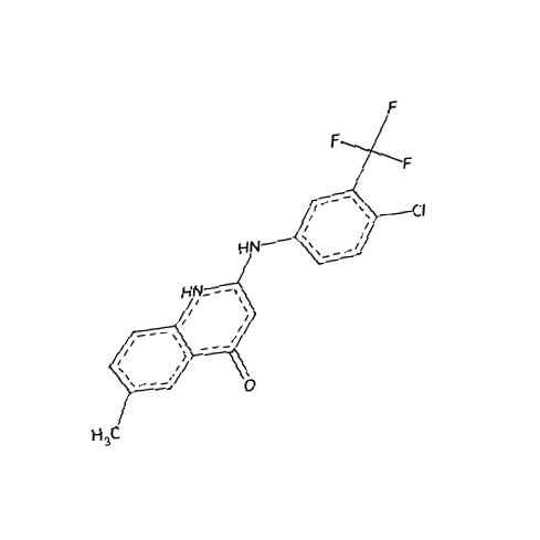 Cc1ccc2[nH]c(Nc3ccc(Cl)c(C(F)(F)F)c3)cc(=O)c2c1